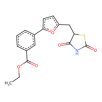 CCOC(=O)c1cccc(-c2ccc(CC3SC(=O)NC3=O)o2)c1